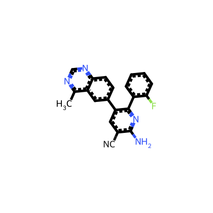 Cc1ncnc2ccc(-c3cc(C#N)c(N)nc3-c3ccccc3F)cc12